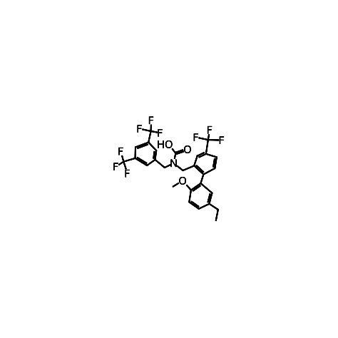 CCc1ccc(OC)c(-c2ccc(C(F)(F)F)cc2CN(Cc2cc(C(F)(F)F)cc(C(F)(F)F)c2)C(=O)O)c1